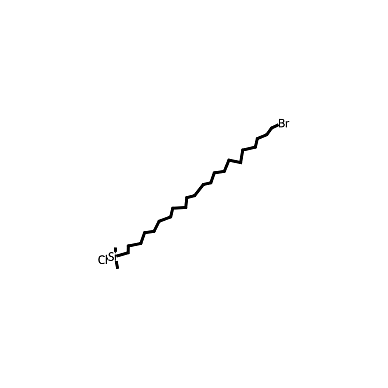 C[Si](C)(Cl)CCCCCCCCCCCCCCCCCCCCCCBr